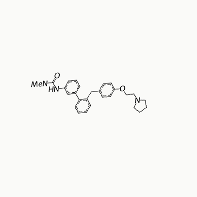 CNC(=O)Nc1cccc(-c2ccccc2Cc2ccc(OCCN3CCCC3)cc2)c1